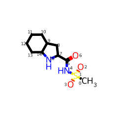 CS(=O)(=O)NC(=O)C1CC2CCCCC2N1